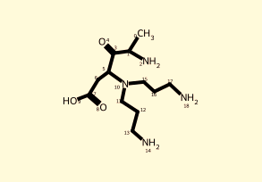 CC(N)C(=O)C(CC(=O)O)N(CCCN)CCCN